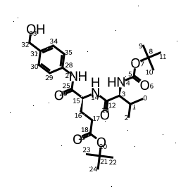 CC(C)[C@H](NC(=O)OC(C)(C)C)C(=O)N[C@@H](CCC(=O)OC(C)(C)C)C(=O)Nc1ccc(CO)cc1